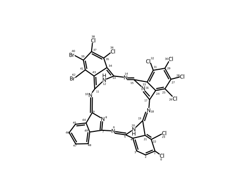 Clc1ccc2c3nc4nc(nc5[nH]c(nc6nc(nc([nH]3)c2c1Cl)-c1c(Cl)c(Cl)c(Cl)c(Cl)c1-6)c1c(Cl)c(Cl)c(Br)c(Br)c51)-c1ccccc1-4